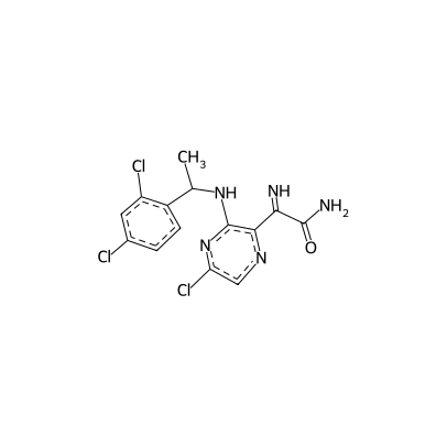 CC(Nc1nc(Cl)cnc1C(=N)C(N)=O)c1ccc(Cl)cc1Cl